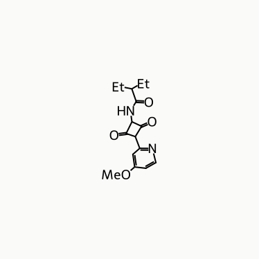 CCC(CC)C(=O)NC1C(=O)C(c2cc(OC)ccn2)C1=O